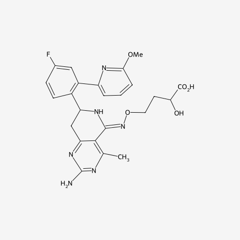 COc1cccc(-c2cc(F)ccc2C2Cc3nc(N)nc(C)c3C(=NOCCC(O)C(=O)O)N2)n1